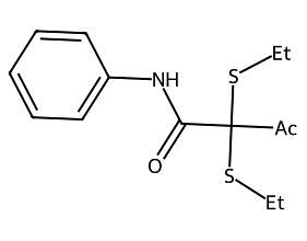 CCSC(SCC)(C(C)=O)C(=O)Nc1ccccc1